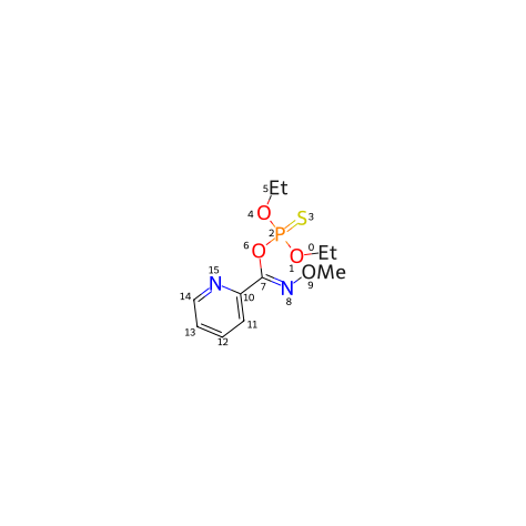 CCOP(=S)(OCC)OC(=NOC)c1ccccn1